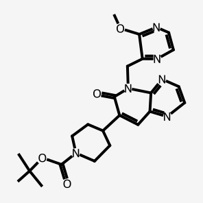 COc1nccnc1Cn1c(=O)c(C2CCN(C(=O)OC(C)(C)C)CC2)cc2nccnc21